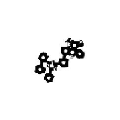 c1ccc(-c2nc(-c3cccc(-c4cccc5c4Sc4ccccc4C54c5ccccc5-c5ccccc54)c3)nc(-c3ccccc3-c3ccccc3)n2)cc1